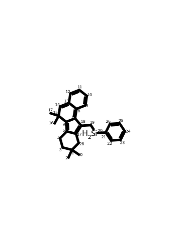 CC1(C)CCC2=C3C(=c4ccccc4=CC3(C)C)C(C[SiH2]c3ccccc3)=C2C1